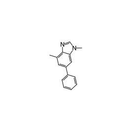 Cc1cc(-c2ccccc2)cc2c1ncn2C